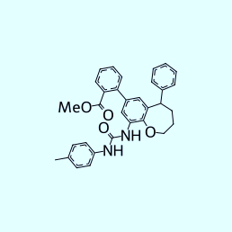 COC(=O)c1ccccc1-c1cc(NC(=O)Nc2ccc(C)cc2)c2c(c1)C(c1ccccc1)CCCO2